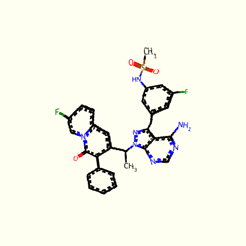 CC(c1cc2ccc(F)cn2c(=O)c1-c1ccccc1)n1nc(-c2cc(F)cc(NS(C)(=O)=O)c2)c2c(N)ncnc21